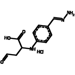 Cl.NN=Cc1ccc(NC(CC=O)C(=O)O)cc1